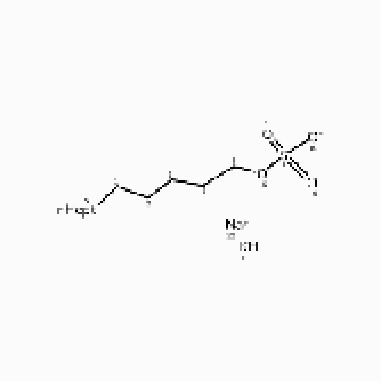 CCCCCCCCCCCCOS(=O)(=O)[O-].[KH].[Na+]